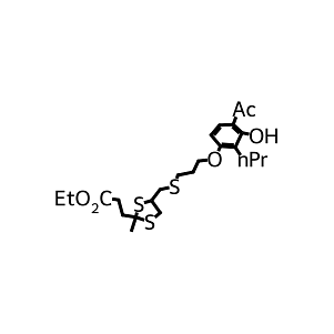 CCCc1c(OCCCSCC2CSC(C)(CCC(=O)OCC)S2)ccc(C(C)=O)c1O